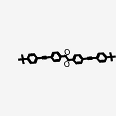 CC(C)(C)c1ccc(C#Cc2ccc(C(=O)C(=O)c3ccc(C#Cc4ccc(C(C)(C)C)cc4)cc3)cc2)cc1